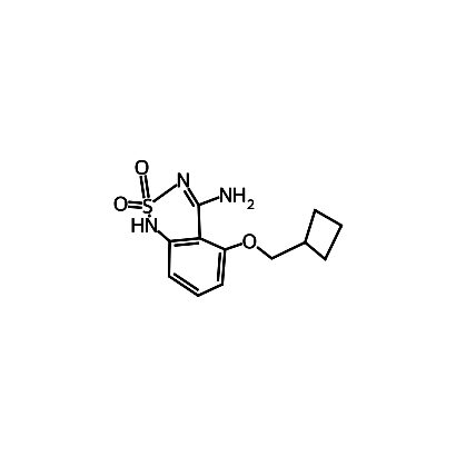 NC1=NS(=O)(=O)Nc2cccc(OCC3CCC3)c21